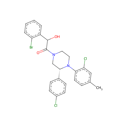 Cc1ccc(N2CCN(C(=O)C(O)c3ccccc3Br)C[C@H]2c2ccc(Cl)cc2)c(Cl)c1